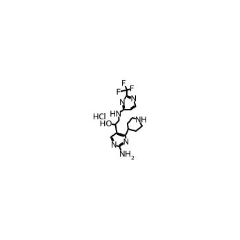 Cl.Nc1ncc(C(O)CNc2ccnc(C(F)(F)F)n2)c(C2CCNCC2)n1